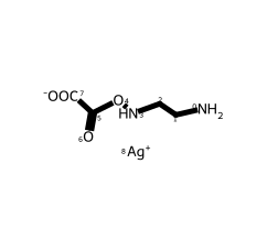 NCCNOC(=O)C(=O)[O-].[Ag+]